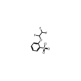 O=S(=O)(Cl)c1ccccc1OC(F)C(F)F